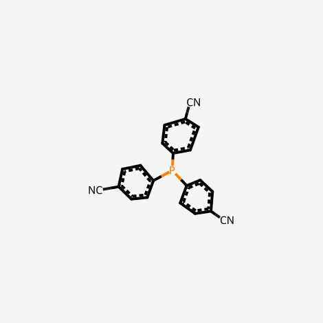 N#Cc1ccc(P(c2ccc(C#N)cc2)c2ccc(C#N)cc2)cc1